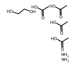 CC(=O)O.CC(=O)O.CC(=O)O.CC(=O)O.N.N.OCCO